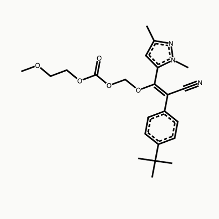 COCCOC(=O)OCO/C(=C(/C#N)c1ccc(C(C)(C)C)cc1)c1cc(C)nn1C